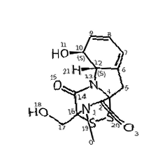 CN1C(=O)C23CC4=CC=C[C@H](O)[C@H]4N2C(=O)C1(CO)SS3